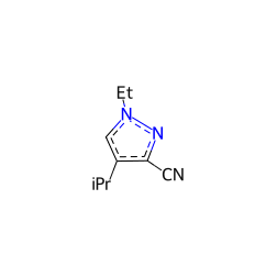 CCn1cc(C(C)C)c(C#N)n1